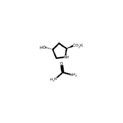 NC(N)=O.O=C(O)[C@@H]1C[C@@H](O)CN1